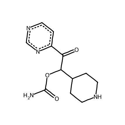 NC(=O)OC(C(=O)c1ccncn1)C1CCNCC1